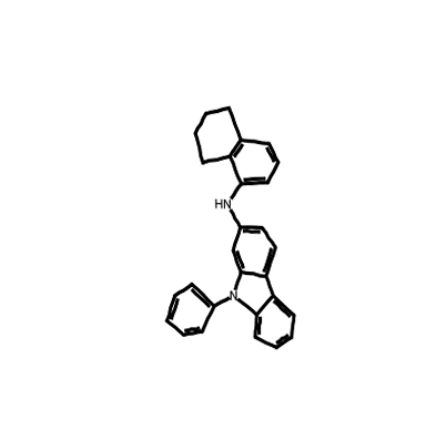 c1ccc(-n2c3ccccc3c3ccc(Nc4cccc5c4CCCC5)cc32)cc1